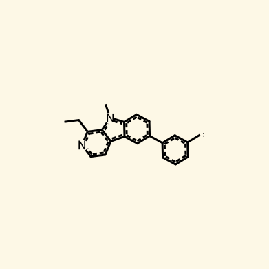 [CH]c1cccc(-c2ccc3c(c2)c2ccnc(CC)c2n3C)c1